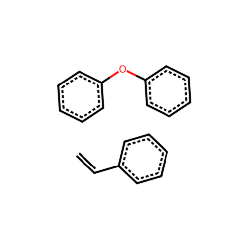 C=Cc1ccccc1.c1ccc(Oc2ccccc2)cc1